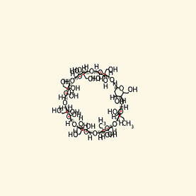 CCC1O[C@H]2C[C@@H](O)[C@@H]1O[C@H]1OC(C)[C@@H](O[C@@H]3OC(CO)[C@@H](O[C@H]4OC(CO)[C@@H](O[C@@H]5OC(CO)[C@@H](O[C@H]6OC(CO)[C@@H](O[C@H]7OC(CO)[C@@H](O[C@@H]8C[C@@H](O)[C@H](O2)C(CO)O8)[C@H](O)C7O)[C@H](O)C6O)[C@H](O)C5O)[C@H](O)C4O)[C@H](O)C3O)[C@H](O)C1O